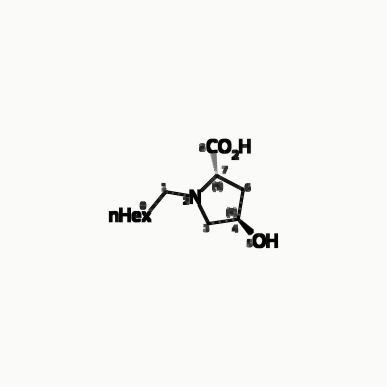 CCCCCCCN1C[C@H](O)C[C@H]1C(=O)O